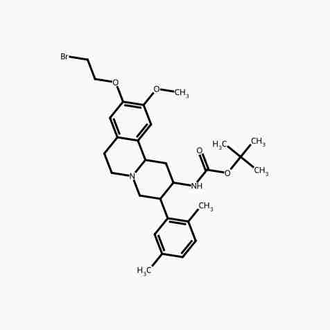 COc1cc2c(cc1OCCBr)CCN1CC(c3cc(C)ccc3C)C(NC(=O)OC(C)(C)C)CC21